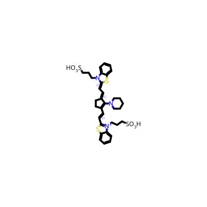 O=S(=O)(O)CCCN1/C(=C/C=C2\CCC(/C=C/c3sc4ccccc4[n+]3CCCS(=O)(=O)O)=C2N2CCCCC2)Sc2ccccc21